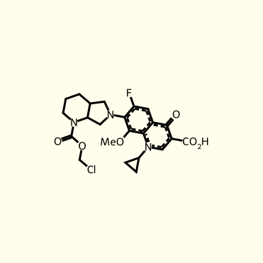 COc1c(N2CC3CCCN(C(=O)OCCl)C3C2)c(F)cc2c(=O)c(C(=O)O)cn(C3CC3)c12